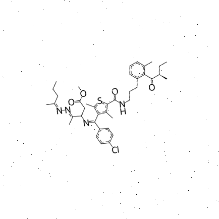 CCC/C(C)=N\N=C(/C)C(CC(=O)OC)/N=C(/c1ccc(Cl)cc1)c1c(C)sc(C(=O)NCCCc2cccc(C)c2C(=O)[C@H](C)CC)c1C